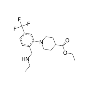 CCNCc1ccc(C(F)(F)F)cc1N1CCC(C(=O)OCC)CC1